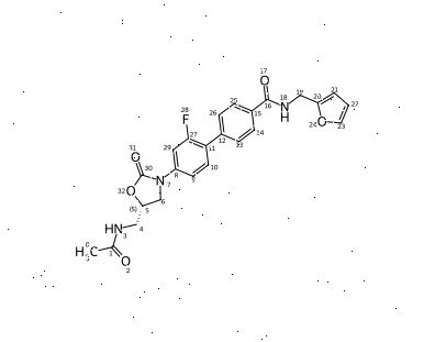 CC(=O)NC[C@H]1CN(c2ccc(-c3ccc(C(=O)NCc4ccco4)cc3)c(F)c2)C(=O)O1